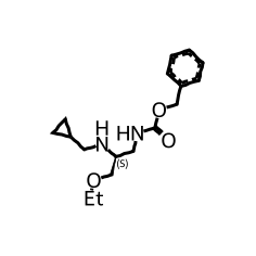 CCOC[C@H](CNC(=O)OCc1ccccc1)NCC1CC1